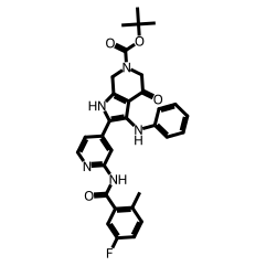 Cc1ccc(F)cc1C(=O)Nc1cc(-c2[nH]c3c(c2Nc2ccccc2)C(=O)CN(C(=O)OC(C)(C)C)C3)ccn1